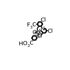 O=C(O)c1ccc(S(=O)(=O)N(Cc2ccc(Cl)cc2C(F)(F)F)c2ncc(Cl)cc2Cl)cc1